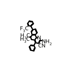 CC1(C)Cc2c(nc(N)c(C#N)c2-c2ccccc2)-c2ccc(-c3ccccc3C(F)(F)F)cc21